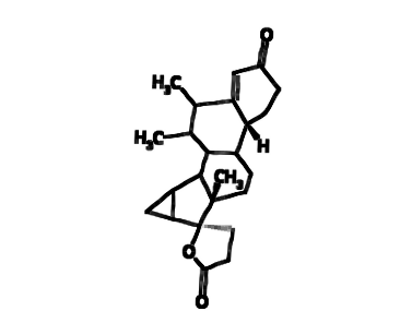 CC1C2=CC(=O)CC[C@@H]2C2CC[C@@]3(C)C(C4CC4[C@@]34CCC(=O)O4)C2C1C